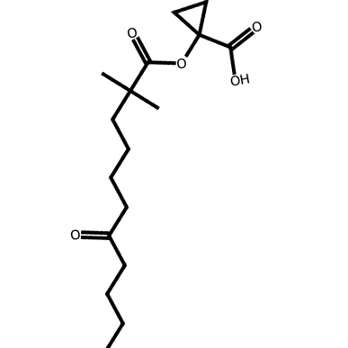 CCCCC(=O)CCCCC(C)(C)C(=O)OC1(C(=O)O)CC1